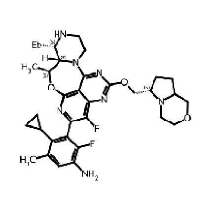 CC[C@@H]1NCCN2c3nc(OC[C@@H]4CCC5COCCN54)nc4c(F)c(-c5c(F)c(N)cc(C)c5C5CC5)nc(c34)O[C@@H](C)[C@H]12